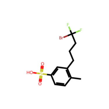 Cc1ccc(S(=O)(=O)O)cc1CCCC(F)(F)Br